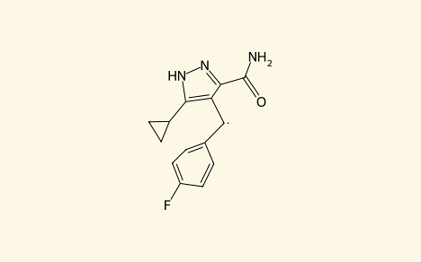 NC(=O)c1n[nH]c(C2CC2)c1[CH]c1ccc(F)cc1